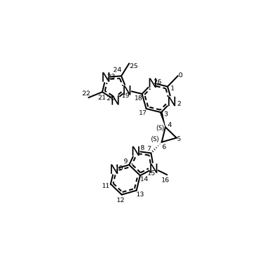 Cc1nc([C@H]2C[C@@H]2c2nc3ncccc3n2C)cc(-n2nc(C)nc2C)n1